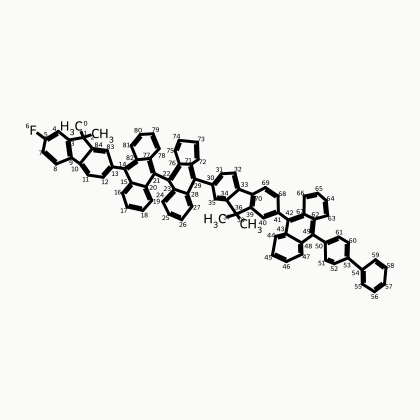 CC1(C)c2cc(F)ccc2-c2ccc(-c3c4ccccc4c(-c4c5ccccc5c(-c5ccc6c(c5)C(C)(C)c5cc(-c7c8ccccc8c(-c8ccc(-c9ccccc9)cc8)c8ccccc78)ccc5-6)c5ccccc45)c4ccccc34)cc21